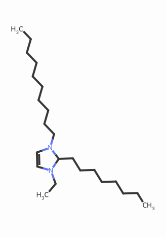 CCCCCCCCCCN1C=CN(CC)C1CCCCCCCC